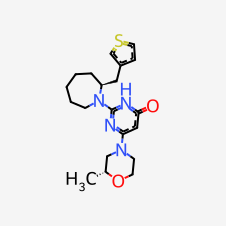 C[C@@H]1CN(c2cc(=O)[nH]c(N3CCCCC[C@H]3Cc3ccsc3)n2)CCO1